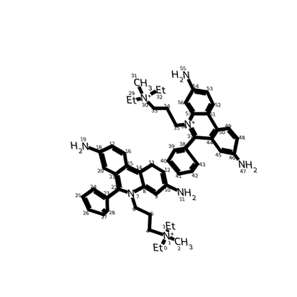 CC[N+](C)(CC)CCCN1C2=CC(N)=CCC2=c2ccc(N)cc2=C1c1ccccc1.CC[N+](C)(CC)CCC[n+]1c(-c2ccccc2)c2cc(N)ccc2c2ccc(N)cc21